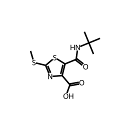 CSc1nc(C(=O)O)c(C(=O)NC(C)(C)C)s1